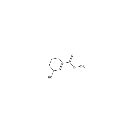 COC(=O)C1=CC(O)CCC1